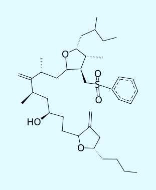 C=C1C[C@H](CCCC)OC1CC[C@@H](O)C[C@@H](C)C(=C)[C@H](C)CC1O[C@H](CC(C)CC)[C@H](C)[C@H]1CS(=O)(=O)c1ccccc1